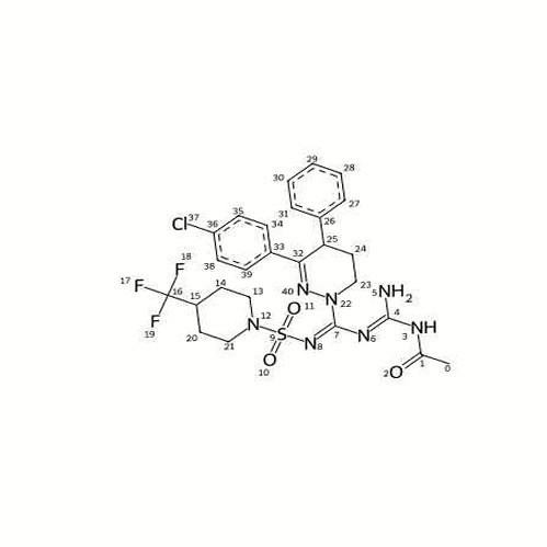 CC(=O)N/C(N)=N/C(=N/S(=O)(=O)N1CCC(C(F)(F)F)CC1)N1CCC(c2ccccc2)C(c2ccc(Cl)cc2)=N1